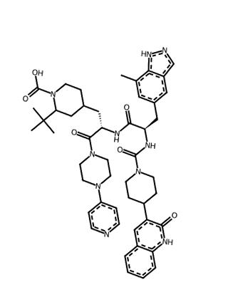 Cc1cc(C[C@@H](NC(=O)N2CCC(c3cc4ccccc4[nH]c3=O)CC2)C(=O)N[C@@H](CC2CCN(C(=O)O)C(C(C)(C)C)C2)C(=O)N2CCN(c3ccncc3)CC2)cc2cn[nH]c12